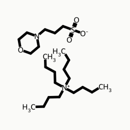 CCCC[N+](CCCC)(CCCC)CCCC.O=S(=O)([O-])CCCN1CCOCC1